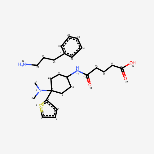 CN(C)C1(c2cccs2)CCC(NC(=O)CCCC(=O)O)CC1.NCCCc1ccccc1